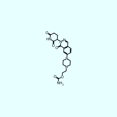 NC(=O)OCCN1CCN(c2ccc3cnn(C4CCC(=O)NC4=O)c(=O)c3c2)CC1